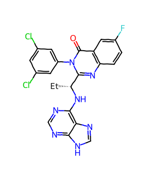 CC[C@@H](Nc1ncnc2[nH]cnc12)c1nc2ccc(F)cc2c(=O)n1-c1cc(Cl)cc(Cl)c1